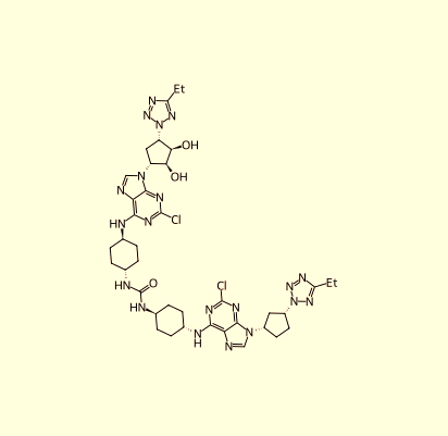 CCc1nnn([C@@H]2CC[C@H](n3cnc4c(N[C@H]5CC[C@H](NC(=O)N[C@H]6CC[C@H](Nc7nc(Cl)nc8c7ncn8[C@@H]7C[C@H](n8nnc(CC)n8)[C@@H](O)[C@H]7O)CC6)CC5)nc(Cl)nc43)C2)n1